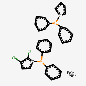 Clc1cc[c-](P(c2ccccc2)c2ccccc2)c1Cl.[Fe+2].[Ni+2].c1ccc(P(c2ccccc2)[c-]2cccc2)cc1